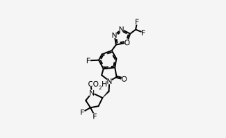 O=C1c2cc(-c3nnc(C(F)F)o3)cc(F)c2CN1C[C@H]1CC(F)(F)CN1C(=O)O